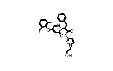 O=C(Nc1ccn(CCO)n1)C(Cc1ccccc1)n1ncc(Oc2c(F)cccc2F)cc1=O